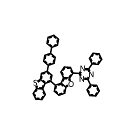 c1ccc(-c2ccc(-c3cc(-c4cccc5oc6c(-c7nc(-c8ccccc8)nc(-c8ccccc8)n7)cccc6c45)c4c(c3)sc3ccccc34)cc2)cc1